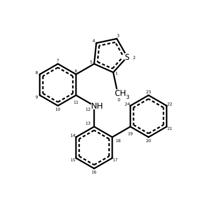 Cc1sccc1-c1ccccc1Nc1ccccc1-c1ccccc1